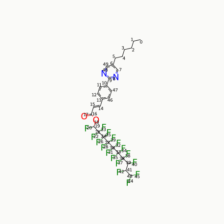 CCCCCCc1cnc(-c2ccc(C=CC(=O)OC(F)C(F)(F)C(F)(F)C(F)(F)C(F)(F)C(F)(F)C(F)(F)C(F)C(F)C(F)F)cc2)nc1